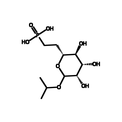 CC(C)OC1O[C@H](CCP(=O)(O)O)[C@@H](O)[C@H](O)[C@@H]1O